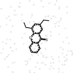 CCc1cc(CC)c2oc3ccccc3c(=S)c2c1